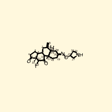 C=C1CC2C3CCC(=O)[C@@]3(C)C(F)C(=O)C2[C@@]2(C)CCC(=NOC3CCNC3)C[C@H]12